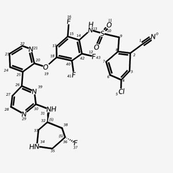 N#Cc1cc(Cl)ccc1CS(=O)(=O)Nc1c(F)cc(Oc2ncccc2-c2ccnc(N[C@@H]3CNC[C@@H](F)C3)n2)c(F)c1F